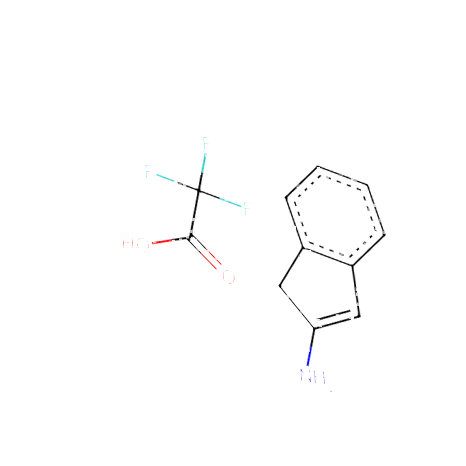 NC1=Cc2ccccc2C1.O=C(O)C(F)(F)F